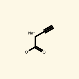 C#CCC(=O)[O-].[Na+]